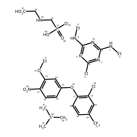 CCNc1nc(Cl)nc(NCC)n1.CCOc1cc(Oc2ccc(C(F)(F)F)cc2Cl)ccc1[N+](=O)[O-].C[S+](C)C.O=C(O)CNCP(=O)([O-])O